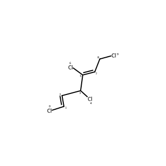 ClC=CC(Cl)C(Cl)=CCCl